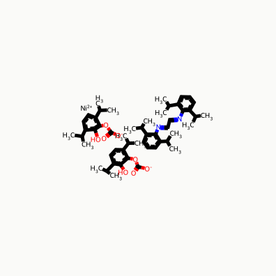 CC(C)c1ccc(C(C)C)c(OC(=O)[O-])c1O.CC(C)c1ccc(C(C)C)c(OC(=O)[O-])c1O.CC(C)c1cccc(C(C)C)c1N=CC=Nc1c(C(C)C)cccc1C(C)C.[Ni+2]